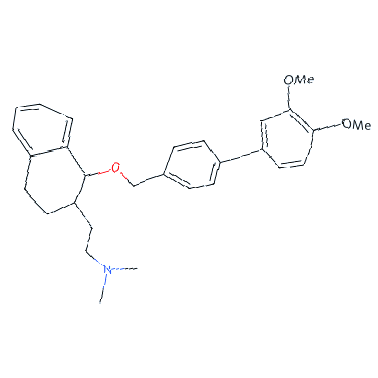 COc1ccc(-c2ccc(COC3c4ccccc4CCC3CCN(C)C)cc2)cc1OC